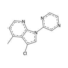 Cc1[c]cnc2c1c(Cl)cn2-c1cnccn1